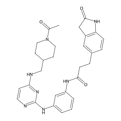 CC(=O)N1CCC(CNc2ccnc(Nc3cccc(NC(=O)CCc4ccc5c(c4)CC(=O)N5)c3)n2)CC1